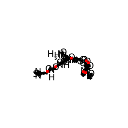 CSc1ncc(C#CCCCC(=O)NCCOCCNC(=O)COCC(=O)N[C@@H](CCCNC(N)=O)C(=O)Nc2ccc(COC(=O)O[C@@H]3C(=O)OCc4c3cc3n(c4=O)Cc4c-3nc3ccccc3c4CCN(C(C)=O)C(C)C)cc2)cn1